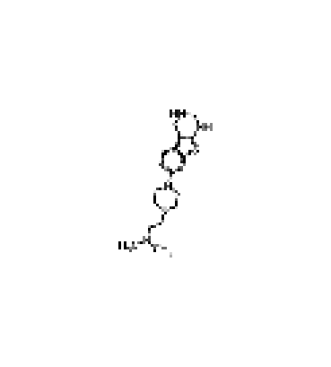 CN(C)CCN1CCN(c2ccc3c4c(sc3c2)NCNC4)CC1